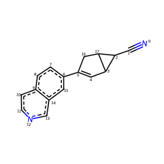 N#CC1C2C=C(c3ccc4ccncc4c3)CC12